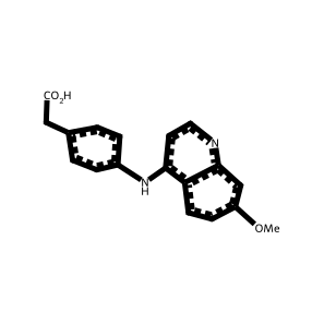 COc1ccc2c(Nc3ccc(CC(=O)O)cc3)ccnc2c1